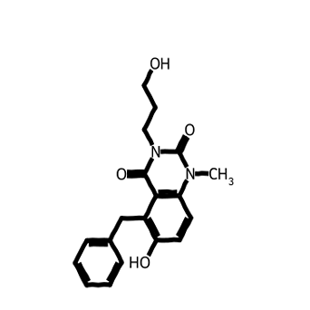 Cn1c(=O)n(CCCO)c(=O)c2c(Cc3ccccc3)c(O)ccc21